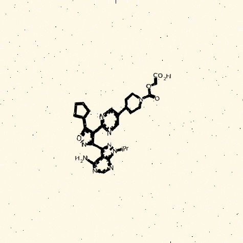 CC(C)n1nc(-c2noc(C3CCCC3)c2-c2ncc(C3CCN(C(=O)OCC(=O)O)CC3)cn2)c2c(N)ncnc21